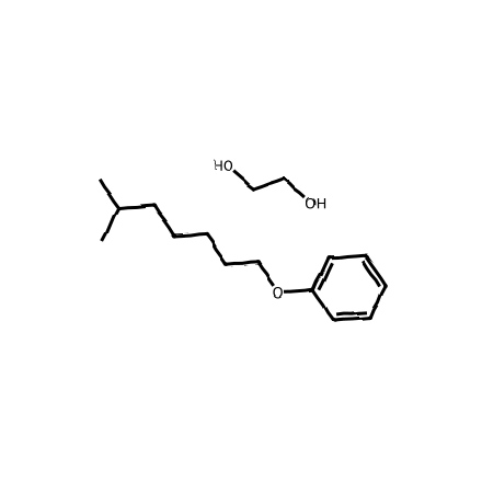 CC(C)CCCCCOc1ccccc1.OCCO